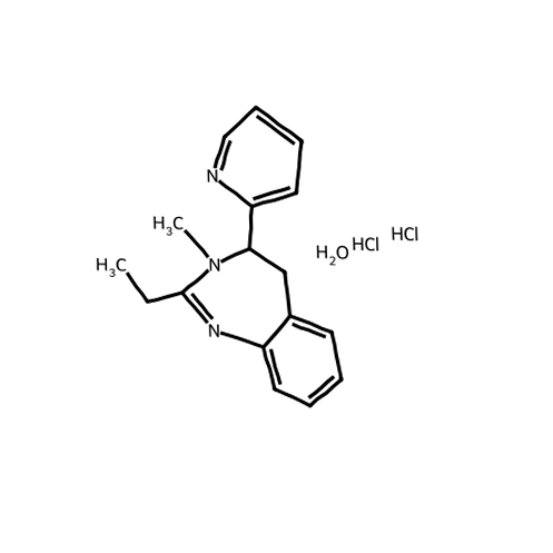 CCC1=Nc2ccccc2CC(c2ccccn2)N1C.Cl.Cl.O